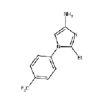 CCc1nc(N)cn1-c1ccc(C(F)(F)F)cc1